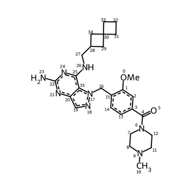 COc1cc(C(=O)N2CCN(C)CC2)ccc1Cn1ncc2nc(N)nc(NCC3CC4(CCC4)C3)c21